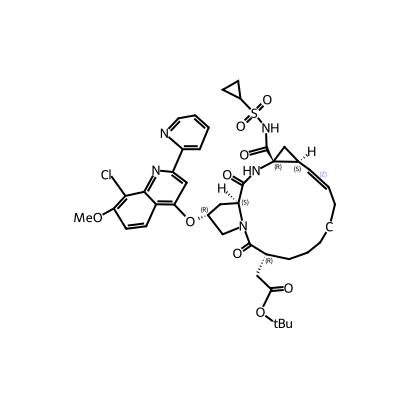 COc1ccc2c(O[C@@H]3C[C@H]4C(=O)N[C@]5(C(=O)NS(=O)(=O)C6CC6)C[C@H]5/C=C\CCCCC[C@H](CC(=O)OC(C)(C)C)C(=O)N4C3)cc(-c3ccccn3)nc2c1Cl